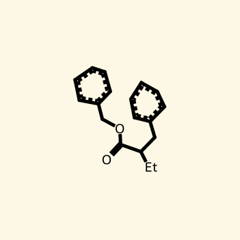 CCC(Cc1ccccc1)C(=O)OCc1ccccc1